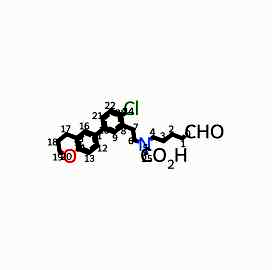 O=CCCCCN(CCc1cc(-c2ccc3c(c2)CCCO3)ccc1Cl)C(=O)O